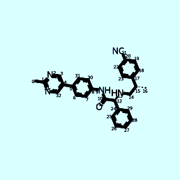 Cc1ncc(-c2ccc(NC(=O)[C@@H](NC[C@@H](C)c3ccc(C#N)cc3)c3ccccc3)cc2)cn1